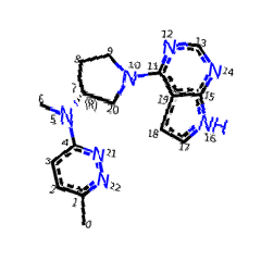 Cc1ccc(N(C)[C@@H]2CCN(c3ncnc4[nH]ccc34)C2)nn1